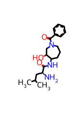 CC(C)C[C@H](N)C(=O)NC1CCCN(C(=O)c2ccccc2)CC1O